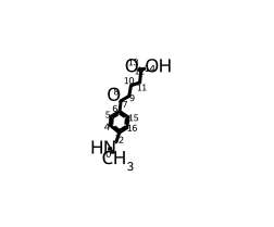 CNCc1ccc(C(=O)CCCC(=O)O)cc1